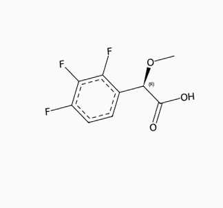 CO[C@@H](C(=O)O)c1ccc(F)c(F)c1F